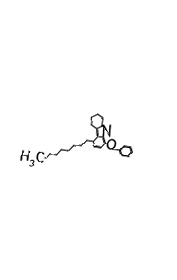 CCCCCCCCCC1C=CC(OCc2ccccc2)=C2N=C3CCCCC3=C21